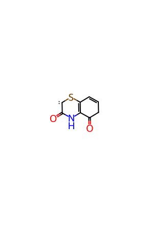 O=C1[C]SC2=C(N1)C(=O)CC=C2